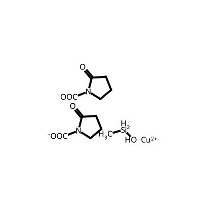 C[SiH2]O.O=C([O-])N1CCCC1=O.O=C([O-])N1CCCC1=O.[Cu+2]